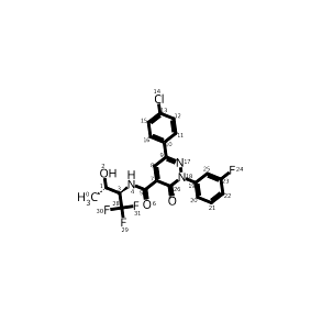 C[C@H](O)[C@@H](NC(=O)c1cc(-c2ccc(Cl)cc2)nn(-c2cccc(F)c2)c1=O)C(F)(F)F